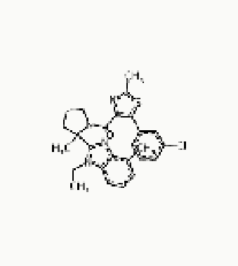 CCn1c(C2(C)CCCN2C(=O)c2nc(C)sc2-c2cccc(Cl)c2)nc2c(C)cccc21